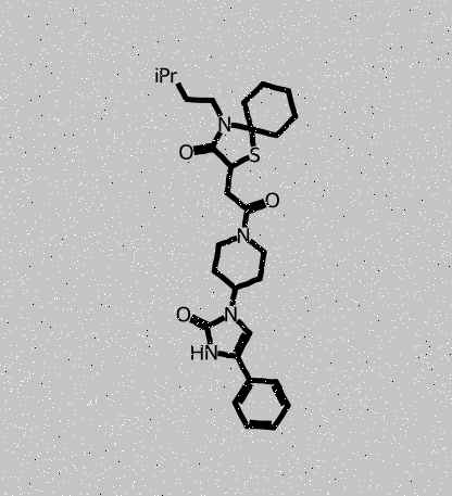 CC(C)CCN1C(=O)C(CC(=O)N2CCC(n3cc(-c4ccccc4)[nH]c3=O)CC2)SC12CCCCC2